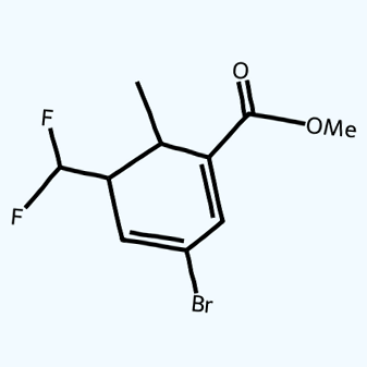 COC(=O)C1=CC(Br)=CC(C(F)F)C1C